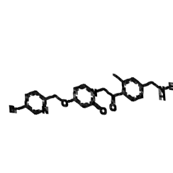 CCNCc1ccc(C(=O)Cn2ccc(OCc3ccc(Br)cn3)cc2=O)c(C)c1